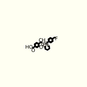 C[C@H](NC(=O)[C@H]1CCCCN1Cc1ccc(CF)cc1)c1ccc(C(=O)O)cc1